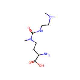 CN(C)CCNC(=O)N(C)CCC(N)C(=O)O